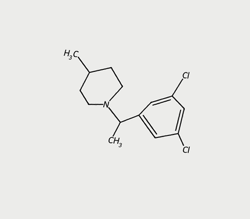 CC1CCN(C(C)c2cc(Cl)cc(Cl)c2)CC1